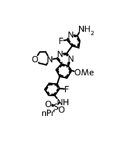 CCCS(=O)(=O)Nc1cccc(-c2cc(OC)c3nc(-c4ccc(N)nc4F)nc(N4CCOCC4)c3c2)c1F